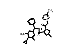 Cc1nnn(CC(=O)N2CC(F)CC2C(=O)NC(c2ccccc2)c2cc(C)c(C3CC3)c(F)c2)n1